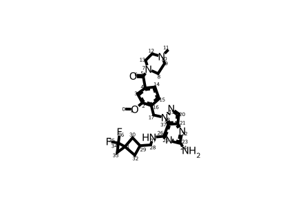 COc1cc(C(=O)N2CCN(C)CC2)ccc1Cn1ncc2nc(N)nc(NCC3CC4(C3)CC4(F)F)c21